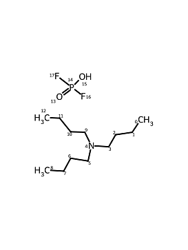 CCCCN(CCCC)CCCC.O=P(O)(F)F